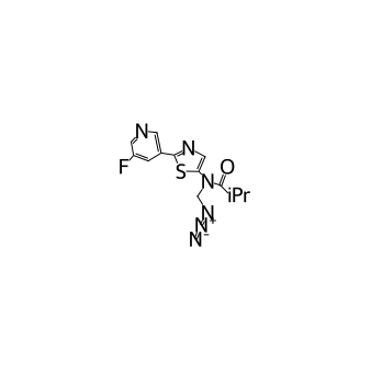 CC(C)C(=O)N(CN=[N+]=[N-])c1cnc(-c2cncc(F)c2)s1